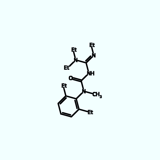 CCN=C(NC(=O)N(C)c1c(CC)cccc1CC)N(CC)CC